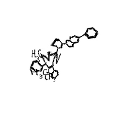 CN1C(C2C=C(c3ccc4cc(-c5ccccc5)ccc4c3)C#CC2)=NC2=C(C1c1ccccc1)C(C)(C)c1ccccc12